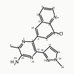 Cc1nc(-c2cc(Cl)c3ncccc3c2)c(-c2ccn(C)n2)nc1N